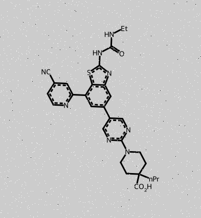 CCCC1(C(=O)O)CCN(c2ncc(-c3cc(-c4cc(C#N)ccn4)c4sc(NC(=O)NCC)nc4c3)cn2)CC1